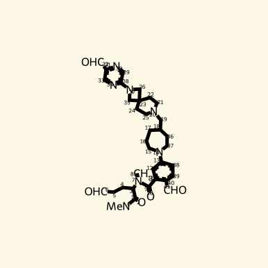 CNC(=O)C(CCC=O)N(C)C(=O)c1cc(N2CCCC(CN3CCC4(CC3)CN(c3cnc(C=O)cn3)C4)CC2)ccc1C=O